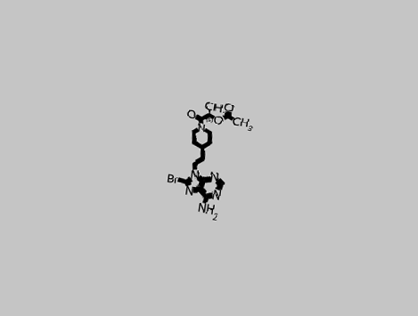 CC(=O)O[C@@H](C)C(=O)N1CCC(CCn2c(Br)nc3c(N)ncnc32)CC1